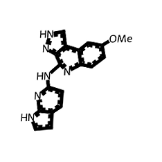 COc1ccc2nc(Nc3ccc4cc[nH]c4n3)c3n[nH]cc3c2c1